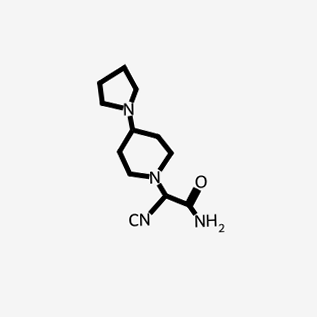 [C-]#[N+]C(C(N)=O)N1CCC(N2CCCC2)CC1